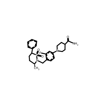 C[C@H]1CCC(c2ccccc2)S(=O)(=O)N1Cc1ccc(N2CCC(C(N)=O)CC2)cc1F